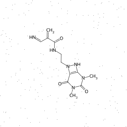 C=C(C=N)C(=O)NCCn1[nH]c2c1c(=O)n(C)c(=O)n2C